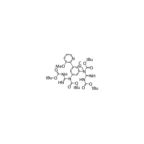 COc1cccnc1-c1cc(N(C(=N)NC(=O)OC(C)(C)C)C(=O)OC(C)(C)C)cc(N(C(=N)NC(=O)OC(C)(C)C)C(=O)OC(C)(C)C)c1C